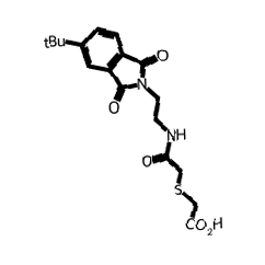 CC(C)(C)c1ccc2c(c1)C(=O)N(CCNC(=O)CSCC(=O)O)C2=O